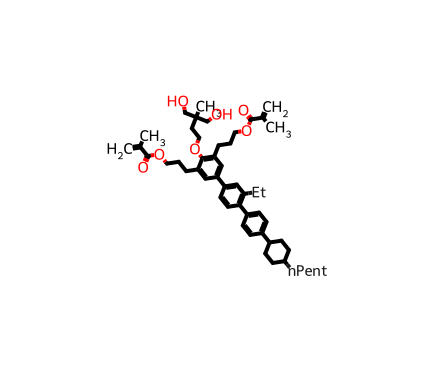 C=C(C)C(=O)OCCCc1cc(-c2ccc(-c3ccc(C4CCC(CCCCC)CC4)cc3)c(CC)c2)cc(CCCOC(=O)C(=C)C)c1OCCC(C)(CO)CO